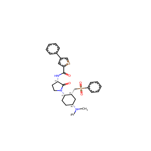 CC(C)N(C)[C@@H]1CC[C@H](N2CC[C@H](NC(=O)c3cc(-c4ccccc4)cs3)C2=O)[C@H](CS(=O)(=O)c2ccccc2)C1